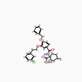 COC(=O)[C@]1(NC(=O)c2ccc(OCc3ccccc3)c(OCCc3cccc(Cl)c3)c2)CC[C@@H](C)CC1